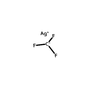 F[C-](F)F.[Ag+]